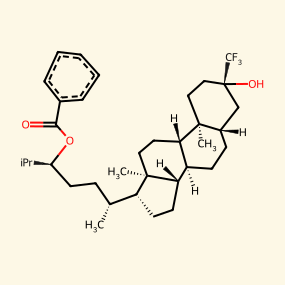 CC(C)[C@H](CC[C@@H](C)[C@H]1CC[C@H]2[C@@H]3CC[C@H]4C[C@](O)(C(F)(F)F)CC[C@]4(C)[C@H]3CC[C@]12C)OC(=O)c1ccccc1